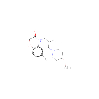 CCCOC1CCN(CC(C)CN2C(=O)COc3ccc(C)cc32)CC1